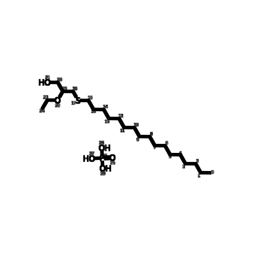 CCCCCCCCCCCCCCCCCSCC(CO)OCC.O=P(O)(O)O